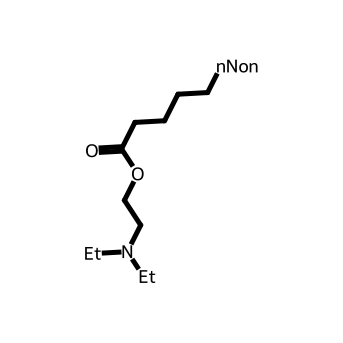 CCCCCCCCCCCCCC(=O)OCCN(CC)CC